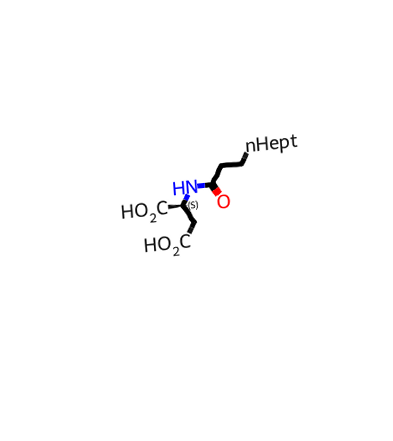 CCCCCCCCCC(=O)N[C@@H](CC(=O)O)C(=O)O